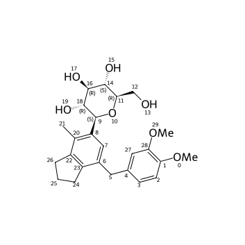 COc1ccc(Cc2cc([C@@H]3O[C@H](CO)[C@@H](O)[C@H](O)[C@H]3O)c(C)c3c2CCC3)cc1OC